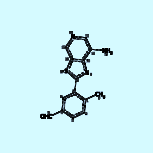 Cc1ccc(C=O)cc1-c1nc2c(N)cncc2s1